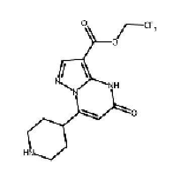 O=C(OCC(F)(F)F)c1cnn2c(C3CCNCC3)cc(=O)[nH]c12